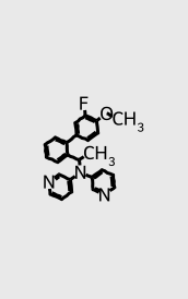 COc1ccc(-c2ccccc2C(C)N(c2cccnc2)c2cccnc2)cc1F